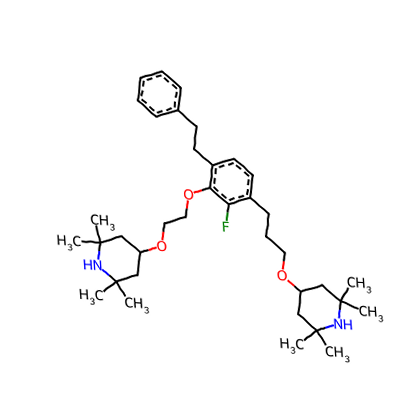 CC1(C)CC(OCCCc2ccc(CCc3ccccc3)c(OCCOC3CC(C)(C)NC(C)(C)C3)c2F)CC(C)(C)N1